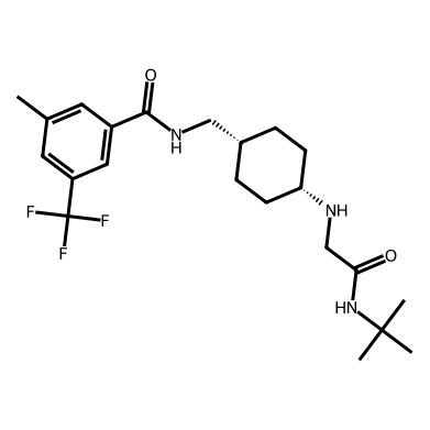 Cc1cc(C(=O)NC[C@H]2CC[C@@H](NCC(=O)NC(C)(C)C)CC2)cc(C(F)(F)F)c1